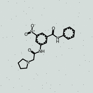 O=C(CN1CCCC1)Nc1cc(C(=O)Nc2ccccc2)cc([N+](=O)[O-])c1